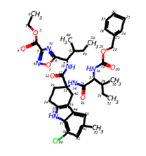 CCOC(=O)c1noc([C@@H](NC(=O)[C@@]2(NC(=O)[C@@H](NC(=O)OCc3ccccc3)C(C)CC)CCc3[nH]c4c(Cl)cc(C)cc4c3C2)C(C)CC)n1